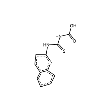 O=C(O)NC(=S)Nc1ccc2ccccc2n1